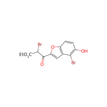 CCOC(=O)C(Br)C(=O)c1cc2c(Br)c(O)ccc2o1